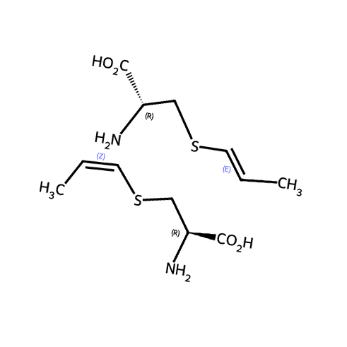 C/C=C/SC[C@H](N)C(=O)O.C/C=C\SC[C@H](N)C(=O)O